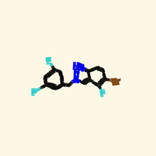 N=C1C=CC(Br)=C(F)/C1=C/NCc1cc(F)cc(F)c1